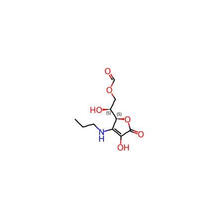 CCCNC1=C(O)C(=O)O[C@@H]1[C@@H](O)COC=O